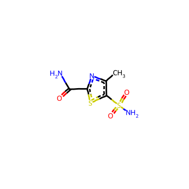 Cc1nc(C(N)=O)sc1S(N)(=O)=O